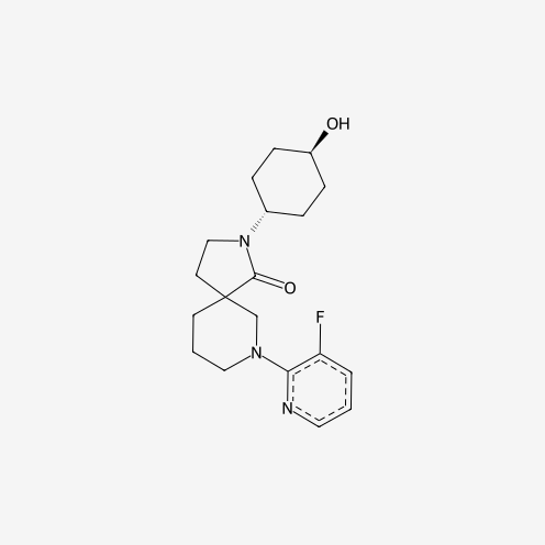 O=C1N([C@H]2CC[C@H](O)CC2)CCC12CCCN(c1ncccc1F)C2